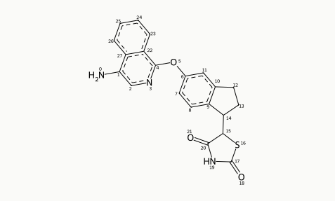 Nc1cnc(Oc2ccc3c(c2)CCC3C2SC(=O)NC2=O)c2ccccc12